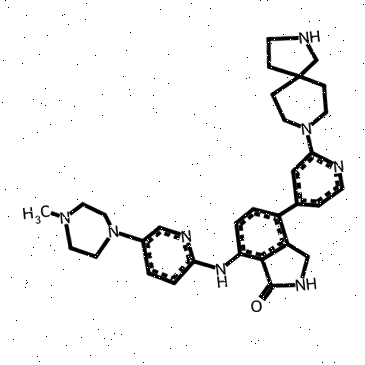 CN1CCN(c2ccc(Nc3ccc(-c4ccnc(N5CCC6(CCNC6)CC5)c4)c4c3C(=O)NC4)nc2)CC1